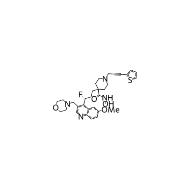 COc1ccc2ncc(CN3CCOCC3)c([C@H](F)CCC3(C(=O)NO)CCN(CC#Cc4cccs4)CC3)c2c1